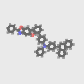 c1ccc(-c2nc3cc4oc5c(-c6ccc(N(c7ccccc7)c7ccc(-c8cc9ccccc9c9ccccc89)cc7)cc6)cccc5c4cc3o2)cc1